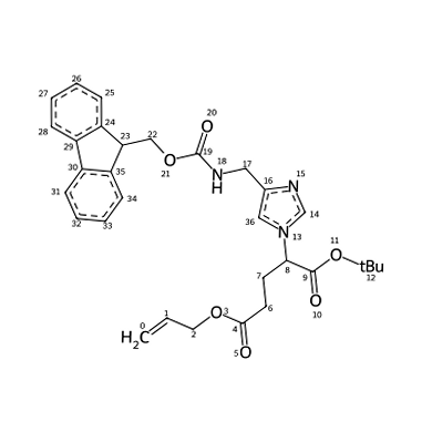 C=CCOC(=O)CCC(C(=O)OC(C)(C)C)n1cnc(CNC(=O)OCC2c3ccccc3-c3ccccc32)c1